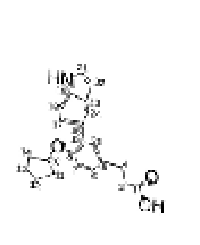 O=C(O)CCc1ccc(OC2CCCC2)c(-c2ccc3[nH]ccc3c2)c1